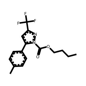 CCCCOC(=O)n1nc(C(F)(F)F)cc1-c1ccc(C)cc1